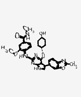 CNC(=O)c1ccc(Nc2nc(O[C@H]3CC[C@H](O)CC3)c3c(-c4ccc5nc(C)oc5c4)c[nH]c3n2)c(OC)c1